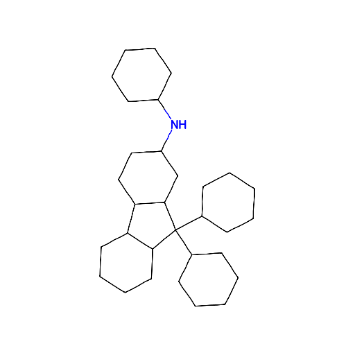 C1CCC(NC2CCC3C4CCCCC4C(C4CCCCC4)(C4CCCCC4)C3C2)CC1